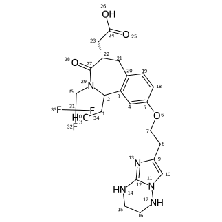 CCC1c2cc(OCCc3cn4c(n3)NCCN4)ccc2C[C@@H](CC(=O)O)C(=O)N1CC(F)(F)F